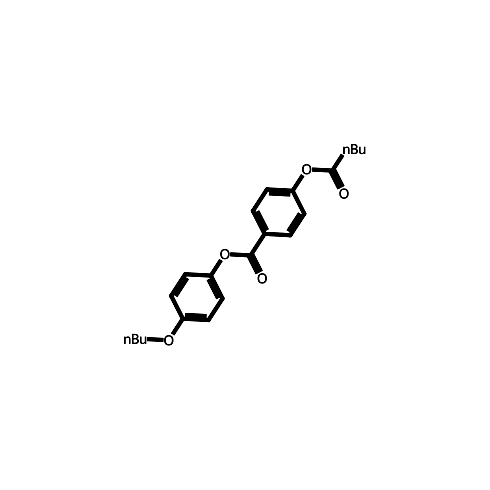 CCCCOc1ccc(OC(=O)c2ccc(OC(=O)CCCC)cc2)cc1